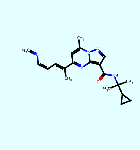 C=N/C=C\C=C(/C)c1cc(C)n2ncc(C(=O)NC(C)(C)C3CC3)c2n1